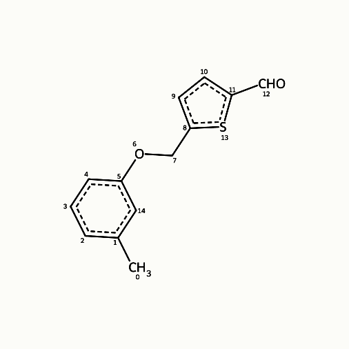 Cc1cccc(OCc2ccc(C=O)s2)c1